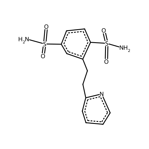 NS(=O)(=O)c1ccc(S(N)(=O)=O)c(CCc2ccccn2)c1